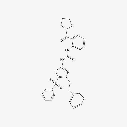 O=C(Nc1nc(CSc2ccccc2)c(S(=O)(=O)c2ccccn2)s1)Nc1ccccc1C(=O)C1CCCC1